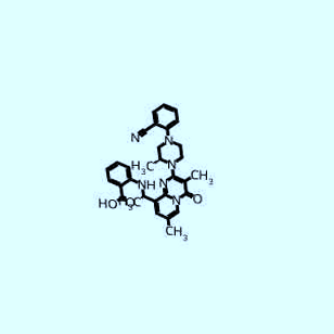 Cc1cc([C@@H](C)Nc2ccccc2C(=O)O)c2nc(N3CCN(c4ccccc4C#N)C[C@@H]3C)c(C)c(=O)n2c1